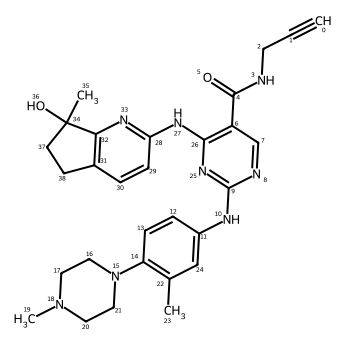 C#CCNC(=O)c1cnc(Nc2ccc(N3CCN(C)CC3)c(C)c2)nc1Nc1ccc2c(n1)C(C)(O)CC2